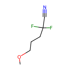 COCCCC(F)(F)C#N